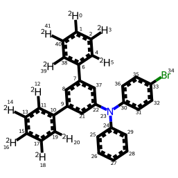 [2H]c1c([2H])c([2H])c(-c2cc(-c3c([2H])c([2H])c([2H])c([2H])c3[2H])cc(N(c3ccccc3)c3ccc(Br)cc3)c2)c([2H])c1[2H]